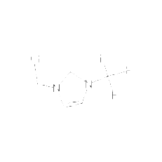 CCN1C=CN(C(F)(F)F)C1